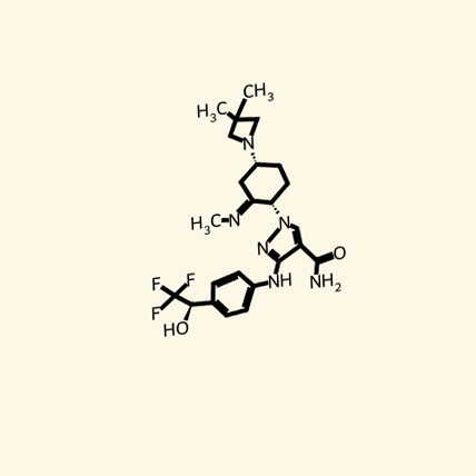 C/N=C1\C[C@H](N2CC(C)(C)C2)CC[C@@H]1n1cc(C(N)=O)c(Nc2ccc([C@@H](O)C(F)(F)F)cc2)n1